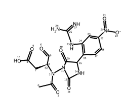 CC(=O)N([C@H]([C]=O)CC(=O)O)N1C(=O)NC(c2ccc([N+](=O)[O-])cc2NC(=N)N)C1=O